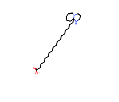 O=C(O)CCCCCCCCCCCCCCCCCC12CCCC=CN1CCCN2